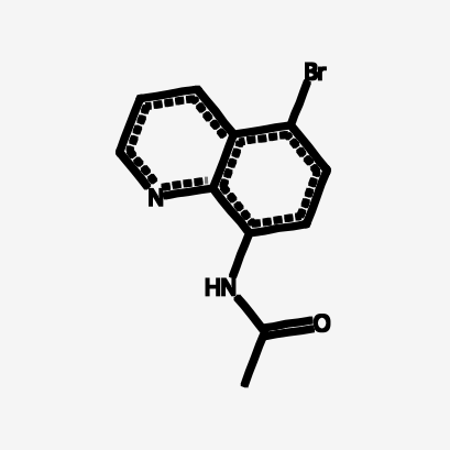 CC(=O)Nc1ccc(Br)c2cccnc12